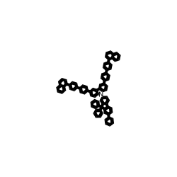 c1ccc(-c2ccc3c(c2)C(c2ccccc2)(c2ccccc2)c2cc(-n4c5ccc(-c6ccc(-c7ccc(-c8cccc9ccccc89)cc7)cc6)cc5c5cc(-c6ccc(-c7ccc(-c8cccc9ccccc89)cc7)cc6)ccc54)ccc2-3)cc1